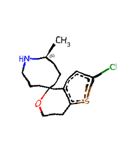 C[C@H]1CC2(CCN1)OCCc1sc(Cl)cc12